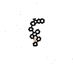 CC1(C)c2ccc(-c3cccc(-c4c5ccccc5c(-c5cccc6c5sc5ccccc56)c5ccccc45)c3)cc2-c2cc3ccccc3cc21